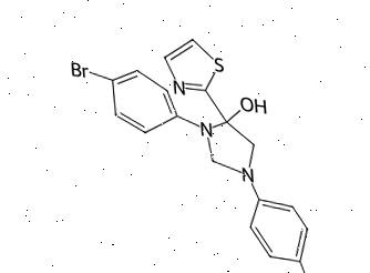 OC1(c2nccs2)CN(c2ccc(Br)cc2)CN1c1ccc(Br)cc1